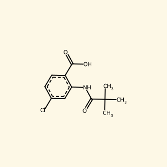 CC(C)(C)C(=O)Nc1cc(Cl)ccc1C(=O)O